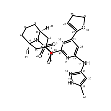 CCS(=O)(=O)N1[C@@H]2CCC[C@H]1C[C@@H](N(C)c1nc(Nc3cc(C)[nH]n3)cc(C3=CCCO3)n1)C2